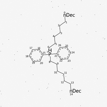 CCCCCCCCCCCCCCCC[PH](CCCCCCCCCCCCCCCC)(c1ccccc1)c1ccccc1